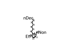 CCCCCCCCCCCCCCCCC1N(CC)C=CN1CCCCCCCCC